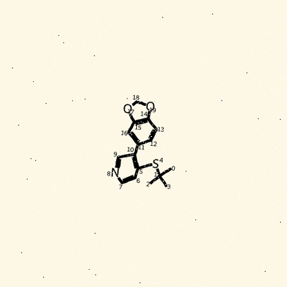 CC(C)(C)Sc1ccncc1-c1ccc2c(c1)OCO2